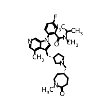 Cc1cncc2c1c(C[C@@H]1CCN(C[C@@H]3CCC(=O)N(C)CC3)C1)cn2-c1ccc(F)cc1C(=O)N(C)C(C)C